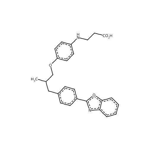 CC(COc1ccc(NCCC(=O)O)cc1)Cc1ccc(-c2nc3ccccc3o2)cc1